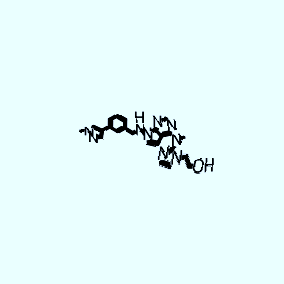 CN(c1ncnc2c1ccn2NCc1cccc(-c2cnn(C)c2)c1)c1nccn1CCO